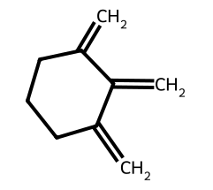 C=C1CCCC(=C)C1=C